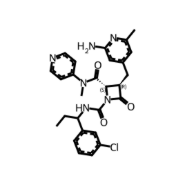 CCC(NC(=O)N1C(=O)[C@H](Cc2cc(C)nc(N)c2)[C@H]1C(=O)N(C)c1ccncc1)c1cccc(Cl)c1